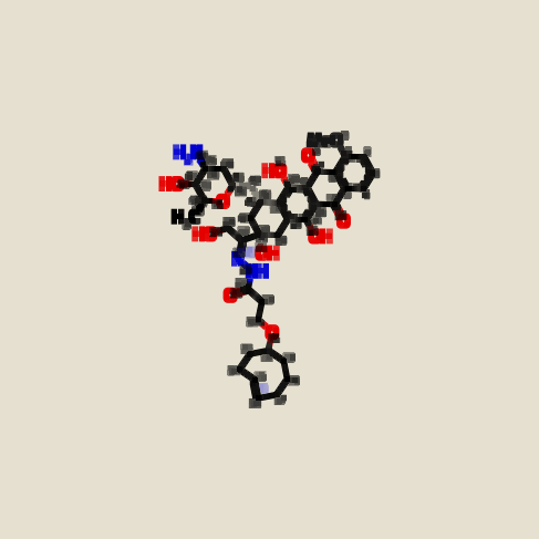 COc1cccc2c1C(=O)c1c(O)c3c(c(O)c1C2=O)C[C@@](O)(/C(CO)=N\NC(=O)CCOC1CC/C=C/CCC1)C[C@@H]3C[C@H]1C[C@H](N)[C@H](O)[C@H](C)O1